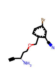 C#C[C@@H](N)CCOCc1ccc(Br)cc1C#N